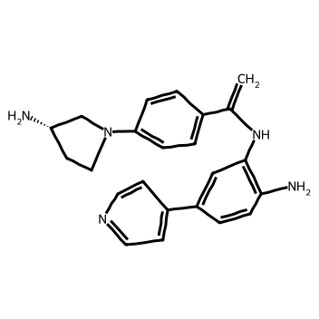 C=C(Nc1cc(-c2ccncc2)ccc1N)c1ccc(N2CC[C@H](N)C2)cc1